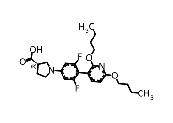 CCCCOc1ccc(-c2c(F)cc(N3CC[C@@H](C(=O)O)C3)cc2F)c(OCCCC)n1